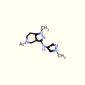 CC(=O)N1CCc2c(c(Nc3cnn(C)c3)nn2C)C1